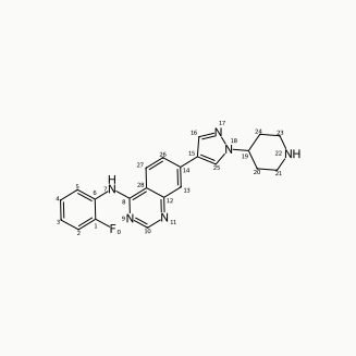 Fc1ccccc1Nc1ncnc2cc(-c3cnn(C4CCNCC4)c3)ccc12